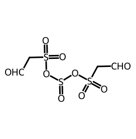 O=CCS(=O)(=O)OS(=O)OS(=O)(=O)CC=O